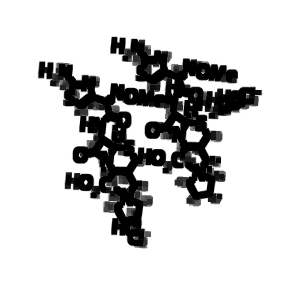 CO/N=C(\C(=O)N[C@@H]1C(=O)N2C(C(=O)O)=C(C[N+]3(C)CCCC3)CS[C@H]12)c1csc(N)n1.CO/N=C(\C(=O)N[C@@H]1C(=O)N2C(C(=O)O)=C(C[N+]3(C)CCCC3)CS[C@H]12)c1csc(N)n1.Cl.Cl.O.O.[Cl-].[Cl-]